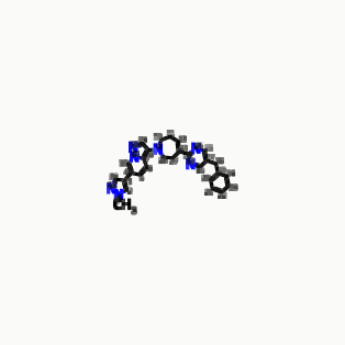 Cn1cc(-c2ccc3c(N4CCC=C(c5ncc(Cc6ccccc6)cn5)CC4)cnn3c2)cn1